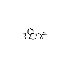 COC(=O)CN1CCNc2c1cccc2[N+](=O)[O-]